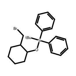 CC(C)(C)[Si](OC1CCCCC1CBr)(c1ccccc1)c1ccccc1